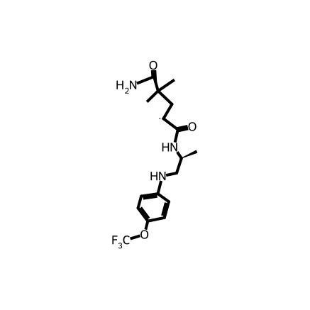 C[C@@H](CNc1ccc(OC(F)(F)F)cc1)NC(=O)[CH]CC(C)(C)C(N)=O